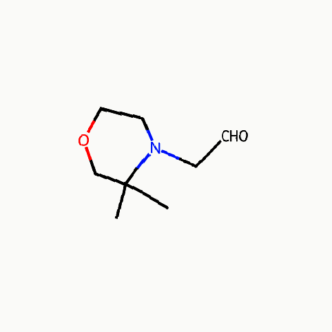 CC1(C)COCCN1CC=O